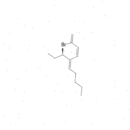 C=C(Br)/C=C\C(=C/CCCC)[C@H](C)CC